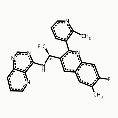 Cc1cc2cc([C@@H](Nc3ncnc4cccnc34)C(F)(F)F)c(-c3cccnc3C)nc2cc1F